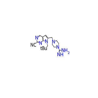 CC(C)(C)Cn1c(CN2CCN(C(=N)N)CC2)cc2cnc(C#N)nc21